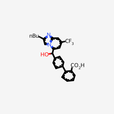 CCCCc1cn2c(C(O)c3ccc(-c4ccccc4C(=O)O)cc3)cc(C(F)(F)F)cc2n1